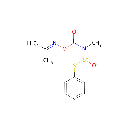 CC(C)=NOC(=O)N(C)[S+]([O-])Sc1ccccc1